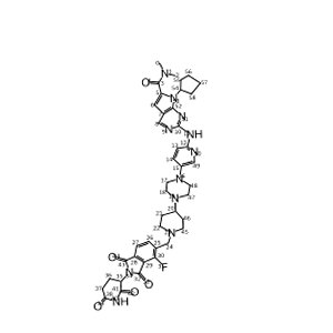 CN(C)C(=O)c1cc2cnc(Nc3ccc(N4CCN(C5CCN(Cc6ccc7c(c6F)C(=O)N(C6CCC(=O)NC6=O)C7=O)CC5)CC4)cn3)nc2n1C1CCCC1